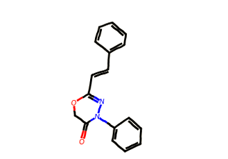 O=C1COC(/C=C/c2ccccc2)=NN1c1ccccc1